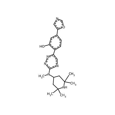 CN(c1ncc(-c2ccc(-c3cnco3)cc2O)nn1)C1CC(C)(C)NC(C)(C)C1